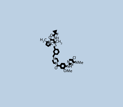 CNc1nc(Nc2ccc(C(=O)N3CCN(CC4CCCC(CSC(C)(C)C(NC(=O)C5(F)CC5)C(=O)N5CCCC5C)C4)CC3)cc2OC)ncc1Cl